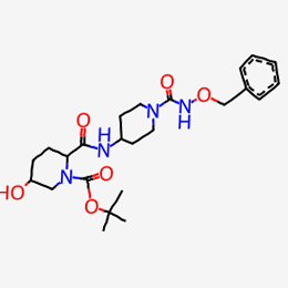 CC(C)(C)OC(=O)N1CC(O)CCC1C(=O)NC1CCN(C(=O)NOCc2ccccc2)CC1